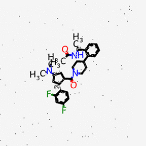 CC(=O)N[C@@H](C)c1ccccc1C1CCN(C(=O)C2C[C@H](N(C)C)C[C@H]2c2ccc(F)cc2F)CC1